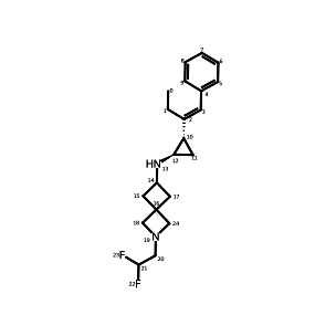 CC/C(=C\c1ccccc1)[C@@H]1C[C@H]1NC1CC2(C1)CN(CC(F)F)C2